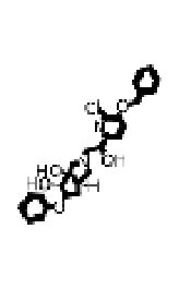 OC(CN1C[C@@H]2C[C@@H](Oc3ccccc3)[C@@H](O)[C@]2(O)C1)c1ccc(OCc2ccccc2)c(Cl)n1